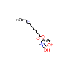 CCCCCCCC/C=C/CCCCCCCC(=O)O[C@H](CCC)C[N+](C)(CCO)CCO